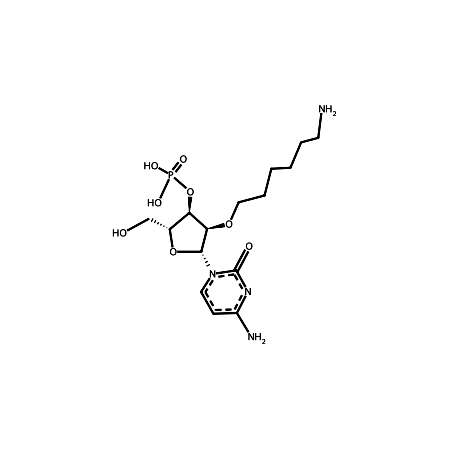 NCCCCCCO[C@@H]1[C@H](OP(=O)(O)O)[C@@H](CO)O[C@H]1n1ccc(N)nc1=O